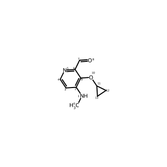 CNc1ccnc(C=O)c1OC1CC1